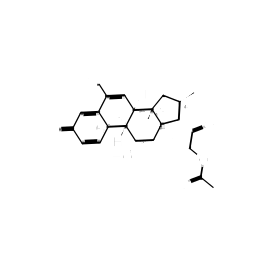 CC(=O)OCC(=O)[C@H]1[C@H](C)C[C@H]2[C@@H]3C=C(Cl)C4=CC(=O)C=C[C@]4(C)[C@H]3[C@@H](O)C[C@@]21C